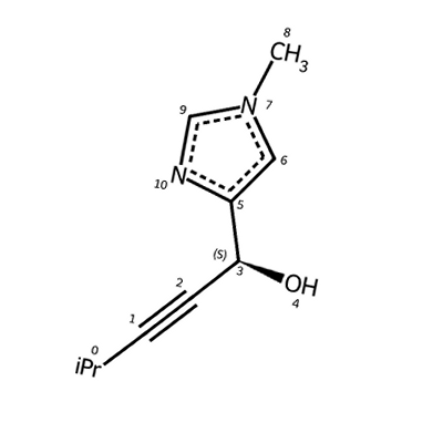 CC(C)C#C[C@H](O)c1cn(C)cn1